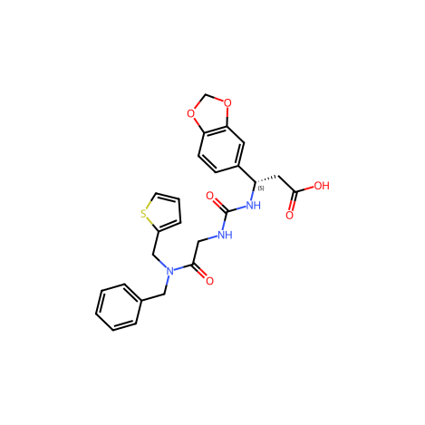 O=C(O)C[C@H](NC(=O)NCC(=O)N(Cc1ccccc1)Cc1cccs1)c1ccc2c(c1)OCO2